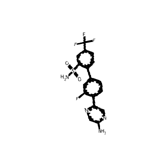 Nc1cnc(-c2ccc(-c3ccc(C(F)(F)F)cc3S(N)(=O)=O)cc2F)cn1